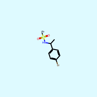 CC(NS(=O)(=O)C(C)C)c1ccc(Br)cc1